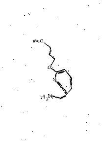 COCCCOc1cccc(CN)n1